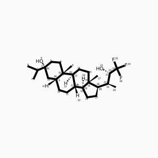 CC(C)[C@@]1(O)CC[C@@]2(C)[C@H](CC[C@@H]3[C@@H]2CC[C@]2(C)[C@@H]([C@H](C)[C@H](O)C(F)(F)F)CC[C@@H]32)C1